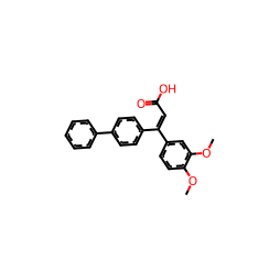 COc1ccc(C(=CC(=O)O)c2ccc(-c3ccccc3)cc2)cc1OC